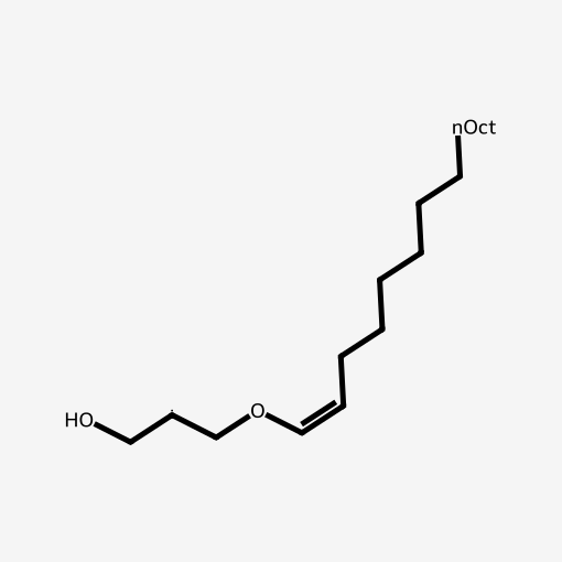 CCCCCCCCCCCCCC/C=C\OC[CH]CO